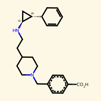 O=C(O)c1ccc(CN2CCC(CCN[C@H]3C[C@@H]3C3C=CC=CC3)CC2)cc1